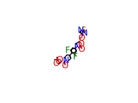 CC1(C)OC[C@@H](C(=O)N2CC=C(c3c(F)cc(N4C[C@H](COc5cnsn5)OC4=O)cc3F)CC2)O1